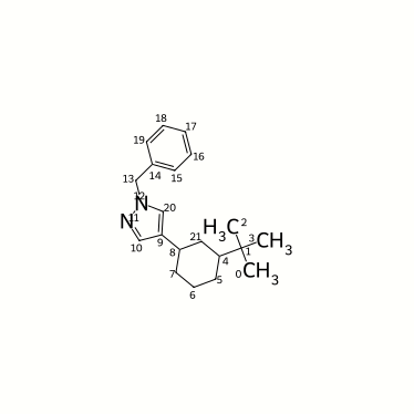 CC(C)(C)C1CCCC(c2cnn(Cc3ccccc3)c2)C1